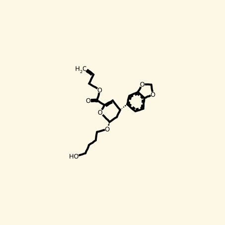 C=CCOC(=O)C1=C[C@H](c2ccc3c(c2)OCO3)C[C@H](OCCCCO)O1